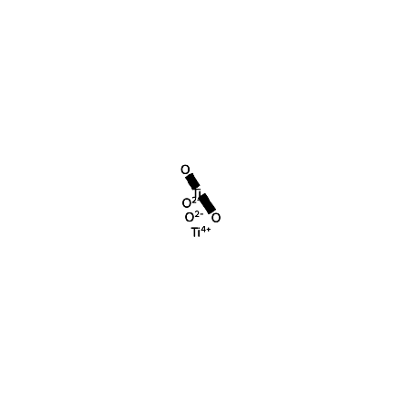 [O-2].[O-2].[O]=[Ti]=[O].[Ti+4]